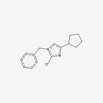 Clc1nc(C2CCCC2)cn1Cc1ccccc1